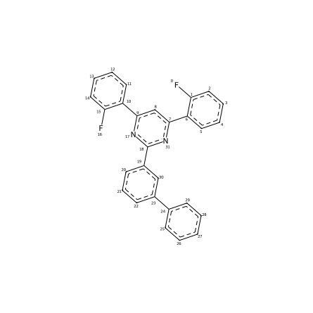 Fc1ccccc1-c1cc(-c2ccccc2F)nc(-c2cccc(-c3ccccc3)c2)n1